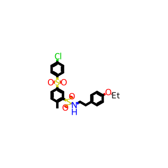 CCOc1ccc(CCNS(=O)(=O)c2cc(S(=O)(=O)c3ccc(Cl)cc3)ccc2C)cc1